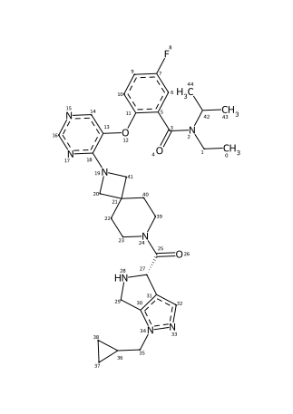 CCN(C(=O)c1cc(F)ccc1Oc1cncnc1N1CC2(CCN(C(=O)[C@H]3NCc4c3cnn4CC3CC3)CC2)C1)C(C)C